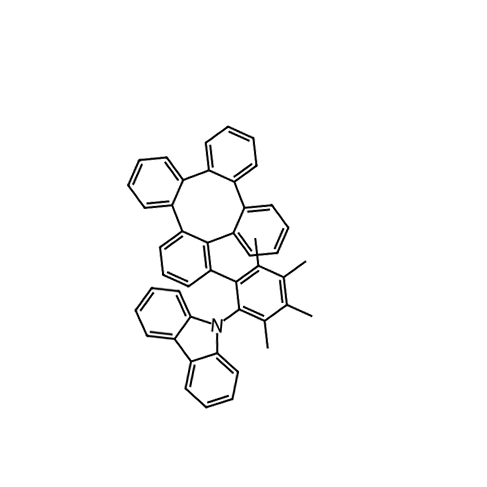 Cc1c(C)c(C)c(-n2c3ccccc3c3ccccc32)c(-c2cccc3c2-c2ccccc2-c2ccccc2-c2ccccc2-3)c1C